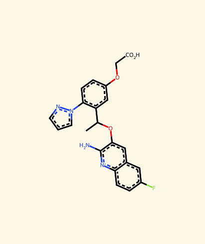 CC(Oc1cc2cc(F)ccc2nc1N)c1cc(OCC(=O)O)ccc1-n1cccn1